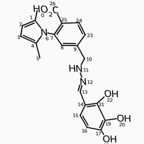 Cc1ccc(C)n1-c1cc(CN/N=C/c2ccc(O)c(O)c2O)ccc1C(=O)O